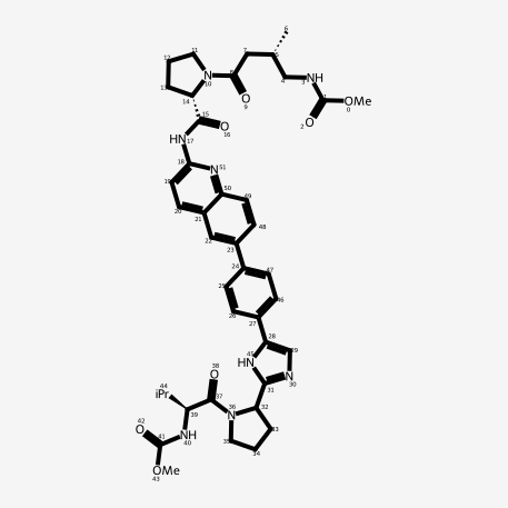 COC(=O)NC[C@@H](C)CC(=O)N1CCC[C@H]1C(=O)Nc1ccc2cc(-c3ccc(-c4cnc(C5CCCN5C(=O)[C@@H](NC(=O)OC)C(C)C)[nH]4)cc3)ccc2n1